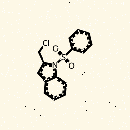 O=S(=O)(c1ccccc1)n1c(CCl)cc2ccccc21